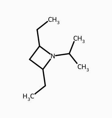 CCC1CC(CC)N1C(C)C